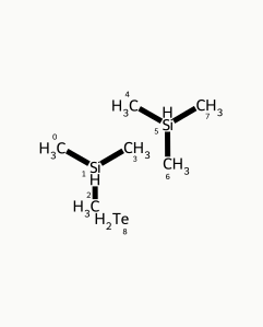 C[SiH](C)C.C[SiH](C)C.[TeH2]